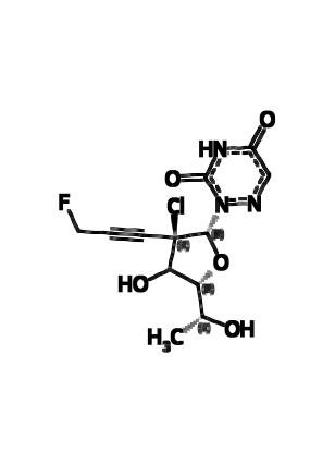 C[C@@H](O)[C@H]1O[C@@H](n2ncc(=O)[nH]c2=O)[C@@](Cl)(C#CCF)C1O